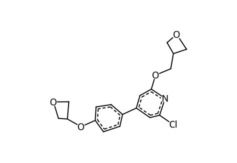 Clc1cc(-c2ccc(OC3COC3)cc2)cc(OCC2COC2)n1